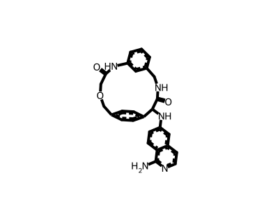 Nc1nccc2cc(NC3C(=O)NCc4cccc(c4)NC(=O)COCc4ccc3cc4)ccc12